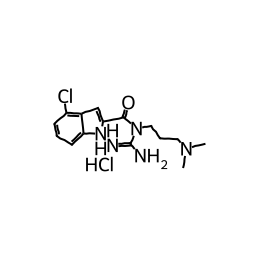 CN(C)CCCN(C(=N)N)C(=O)c1cc2c(Cl)cccc2[nH]1.Cl